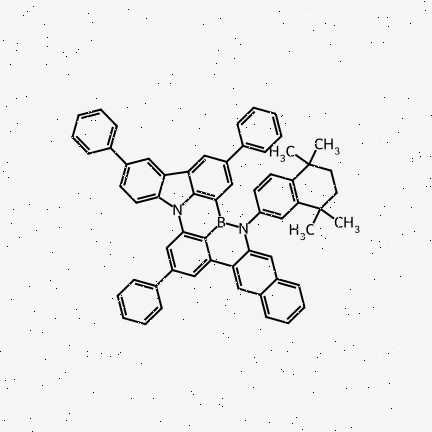 CC1(C)CCC(C)(C)c2cc(N3B4c5c(cc(-c6ccccc6)cc5-n5c6ccc(-c7ccccc7)cc6c6cc(-c7ccccc7)cc4c65)-c4cc5ccccc5cc43)ccc21